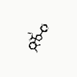 COC(=O)C1(c2cccc(F)c2C)C=C(c2cncnc2)CC1